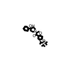 CC(C)[Si](Oc1ccc2c(c1)OCC(N1CCC(O)(c3ccccc3)CC1)C2=O)(C(C)C)C(C)C